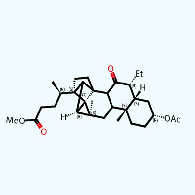 CC[C@H]1C(=O)C2C(C[C@@]3(C)[C@H]4C5C26CC[C@@]5([C@H](C)CCC(=O)OC)[C@@]463)[C@@]2(C)CC[C@@H](OC(C)=O)C[C@@H]12